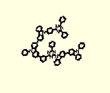 c1ccc(-c2nc(-c3ccccc3)nc(-c3ccc(-n4c5ccccc5c5cc(-c6ccc7c(c6)c6cc(-c8cccc(-c9nc(-c%10ccccc%10)nc(-n%10c%11ccccc%11c%11cc(-c%12ccc%13c(c%12)c%12ccccc%12n%13-c%12ccccc%12)ccc%11%10)n9)c8)ccc6n7-c6ccccc6)ccc54)cc3)n2)cc1